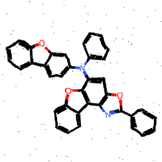 c1ccc(-c2nc3c(cc(N(c4ccccc4)c4ccc5c(c4)oc4ccccc45)c4oc5ccccc5c43)o2)cc1